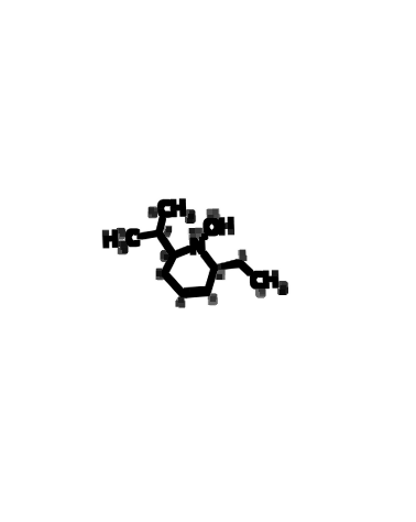 CC[C@H]1C=CCC(C(C)C)N1O